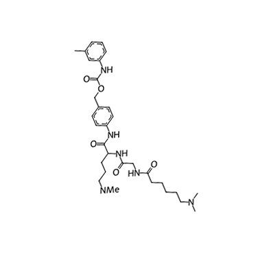 CNCCCC(NC(=O)CNC(=O)CCCCCN(C)C)C(=O)Nc1ccc(COC(=O)Nc2cccc(C)c2)cc1